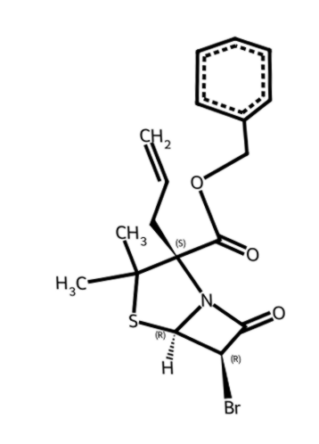 C=CC[C@@]1(C(=O)OCc2ccccc2)N2C(=O)[C@@H](Br)[C@H]2SC1(C)C